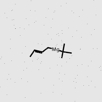 CC=C[CH2][Mg][C](C)(C)C